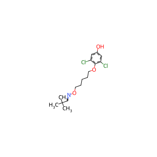 CC(C)(C)/C=N/OCCCCCOc1c(Cl)cc(O)cc1Cl